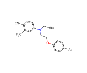 [C-]#[N+]c1ccc(N(CCOc2ccc(C(C)=O)cc2)CC(C)(C)C)cc1C(F)(F)F